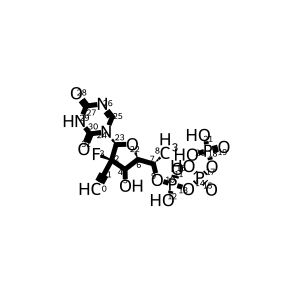 C#C[C@@]1(F)C(O)[C@@H]([C@H](C)OP(=O)(O)OP(=O)(O)OP(=O)(O)O)O[C@H]1n1cnc(=O)[nH]c1=O